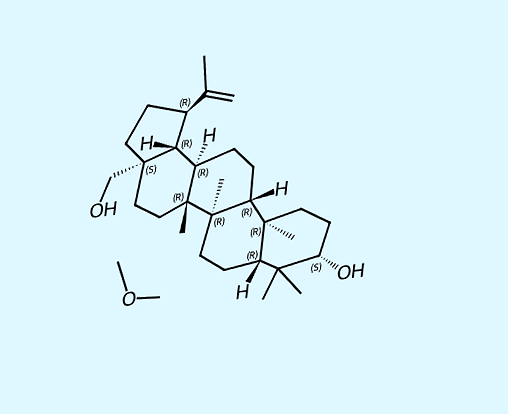 C=C(C)[C@@H]1CC[C@]2(CO)CC[C@]3(C)[C@H](CC[C@@H]4[C@@]5(C)CC[C@H](O)C(C)(C)[C@@H]5CC[C@]43C)[C@@H]12.COC